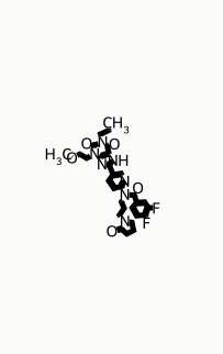 CCCn1c(=O)c2[nH]c(-c3ccc(N(CCCN4CCCC4=O)C(=O)c4ccc(F)c(F)c4)nc3)nc2n(CCOC)c1=O